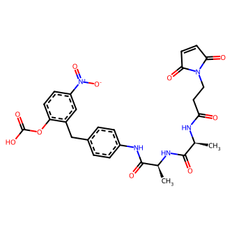 C[C@H](NC(=O)CCN1C(=O)C=CC1=O)C(=O)N[C@@H](C)C(=O)Nc1ccc(Cc2cc([N+](=O)[O-])ccc2OC(=O)O)cc1